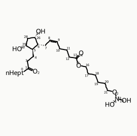 CCCCCCCC(=O)CC[C@@H]1[C@@H](C/C=C\CCCC(=O)OCCCCCCON(O)O)[C@@H](O)C[C@H]1O